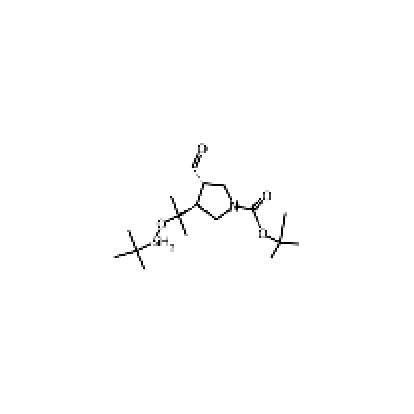 CC(C)(C)OC(=O)N1C[C@@H](C=O)[C@H](C(C)(C)O[SiH2]C(C)(C)C)C1